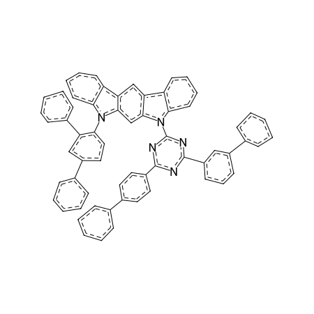 c1ccc(-c2ccc(-c3nc(-c4cccc(-c5ccccc5)c4)nc(-n4c5ccccc5c5cc6c7ccccc7n(-c7ccc(-c8ccccc8)cc7-c7ccccc7)c6cc54)n3)cc2)cc1